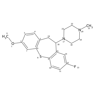 COc1ccc2c(c1)Sc1ccc(F)cc1C(N1CCN(C)CC1)C2